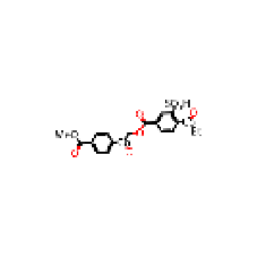 C[CH2][Co](=[O])[c]1ccc(C(=O)O[CH2][Co](=[O])[c]2ccc(C(=O)OC)cc2)cc1S(=O)(=O)O